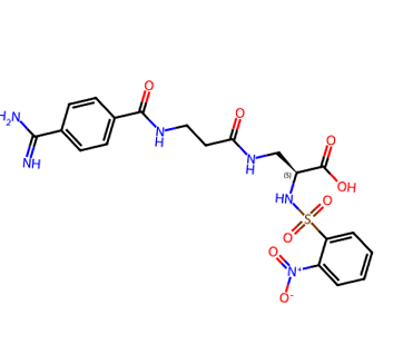 N=C(N)c1ccc(C(=O)NCCC(=O)NC[C@H](NS(=O)(=O)c2ccccc2[N+](=O)[O-])C(=O)O)cc1